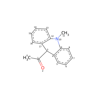 CC(=O)C1c2ccccc2N(C)c2ccccc21